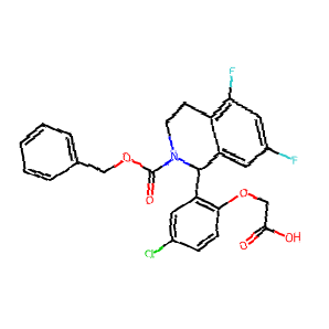 O=C(O)COc1ccc(Cl)cc1C1c2cc(F)cc(F)c2CCN1C(=O)OCc1ccccc1